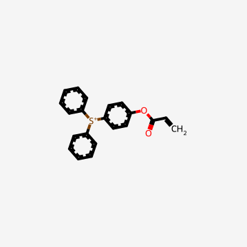 C=CC(=O)Oc1ccc([S+](c2ccccc2)c2ccccc2)cc1